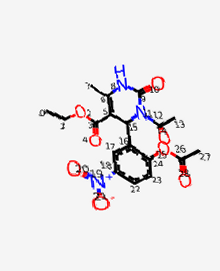 CCOC(=O)C1=C(C)NC(=O)N(C(C)=O)C1c1cc([N+](=O)[O-])ccc1OC(C)=O